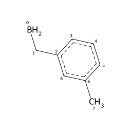 BCc1cccc(C)c1